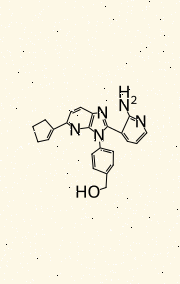 Nc1ncccc1-c1nc2ccc(C3=CCCC3)nc2n1-c1ccc(CO)cc1